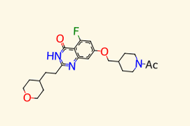 CC(=O)N1CCC(COc2cc(F)c3c(=O)[nH]c(CCC4CCOCC4)nc3c2)CC1